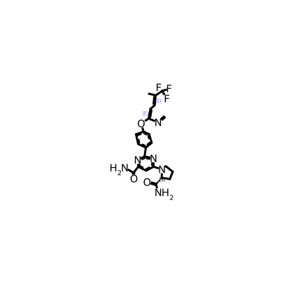 C=N/C(=C\C=C(/C)C(F)(F)F)Oc1ccc(-c2nc(C(N)=O)cc(N3CCC[C@H]3C(N)=O)n2)cc1